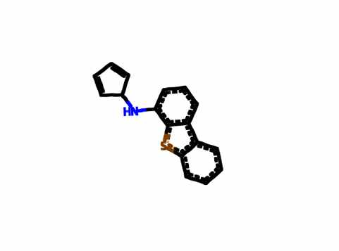 C1=CC(Nc2cccc3c2sc2ccccc23)C=C1